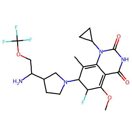 COC1=c2c(=O)[nH]c(=O)n(C3CC3)c2=C(C)C(N2CCC(C(N)COC(F)(F)F)C2)C1F